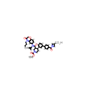 COCCCN1C(=O)COc2ccc(N(C(=O)C3CN(C(=O)OC(C)(C)C)CC[C@@H]3c3cccc(-c4ccc(C(=O)N5CC(C(=O)O)C5)cc4)c3)C3CC3)cc21